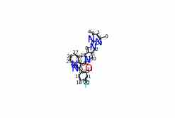 Cc1cc(C)nc(N2CC3CN(C(=O)c4c(-c5ccc(F)cc5)nn5ccccc45)CC3C2)n1